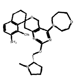 CN1CCC[C@H]1COc1nc2c(c(N3CCCOCC3)n1)COC1(CCCc3ccc(N)c(C#N)c31)C2